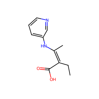 CCC(C(=O)O)=C(C)Nc1cccnc1